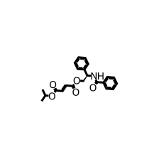 CC(C)OC(=O)/C=C/C(=O)OC[C@H](NC(=O)c1ccccc1)c1ccccc1